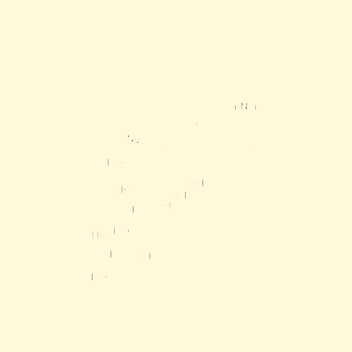 CCCCCCCCCc1ccccc1OC(c1ccccc1CCCCCCCCC)C(CO)(CO)CO.OP(O)O.OP(O)O